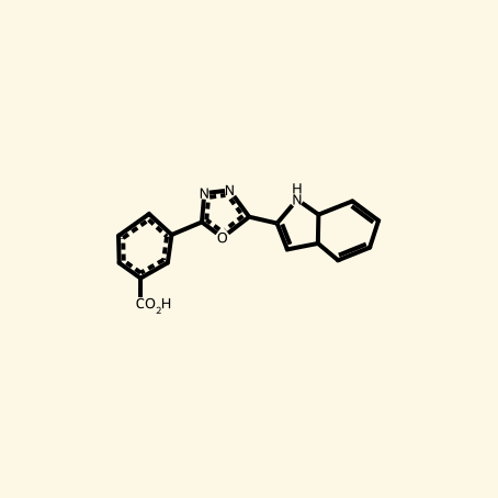 O=C(O)c1cccc(-c2nnc(C3=CC4C=CC=CC4N3)o2)c1